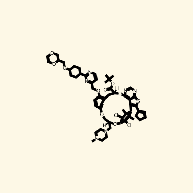 Cc1c(Cl)c2c(Cl)c(C)c1-c1c(C3=CCCC3)sc3ncnc(c13)O[C@@H](C(=O)OC(C)(C)C)Cc1cc(ccc1OCc1ccnc(C3CCC(OCC4COCCO4)CC3)n1)OC[C@@H](CN1CCN(C)CC1)O2